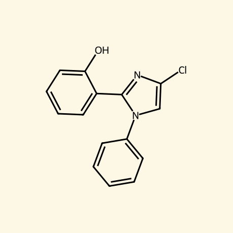 Oc1ccccc1-c1nc(Cl)cn1-c1ccccc1